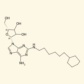 Nc1nc(NCCCCCCC2CCCCC2)nc2c1ncn2[C@@H]1O[C@H](CO)C(O)C1O